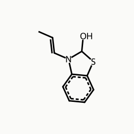 CC=CN1c2ccccc2SC1O